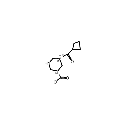 O=C(N[C@H]1CNC[C@@H](C(=O)O)C1)C1CCC1